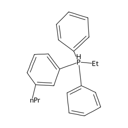 CCCc1cccc([PH](CC)(c2ccccc2)c2ccccc2)c1